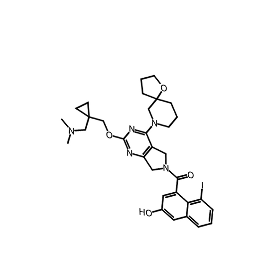 CN(C)CC1(COc2nc3c(c(N4CCCC5(CCCO5)C4)n2)CN(C(=O)c2cc(O)cc4cccc(I)c24)C3)CC1